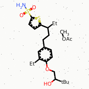 CCc1cc(CCC(CC)c2ccc(S(N)(=O)=O)s2)ccc1OCC(O)C(C)(C)C.COC(C)=O